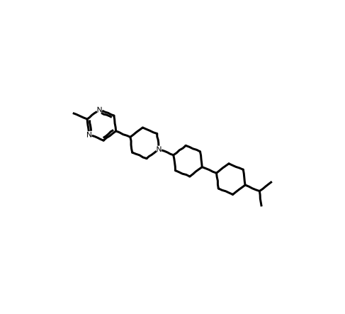 Cc1ncc(C2CCN(C3CCC(C4CCC(C(C)C)CC4)CC3)CC2)cn1